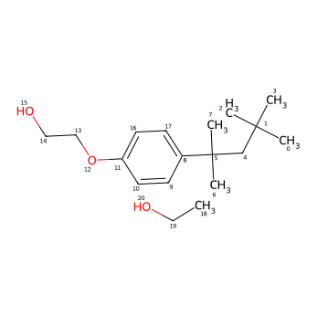 CC(C)(C)CC(C)(C)c1ccc(OCCO)cc1.CCO